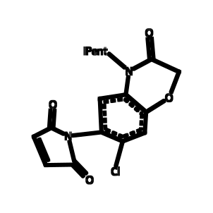 CCCC(C)N1C(=O)COc2cc(Cl)c(N3C(=O)C=CC3=O)cc21